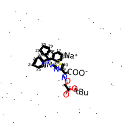 CC(C)(C)OC(=O)CON=C(C(=O)[O-])c1csc(NC(c2ccccc2)(c2ccccc2)c2ccccc2)n1.[Na+]